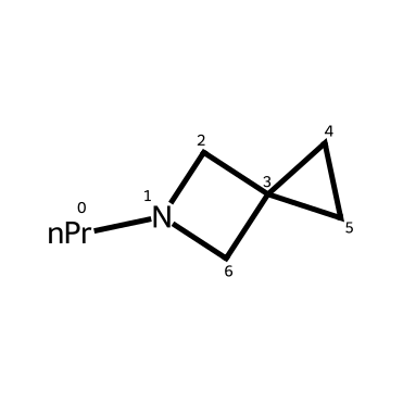 CCCN1CC2(CC2)C1